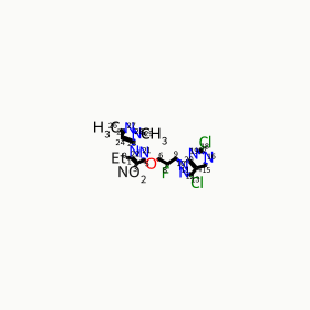 CCc1c([N+](=O)[O-])c(OCC(F)Cn2nc(Cl)c3cnc(Cl)nc32)nn1-c1cc(C)nn1C